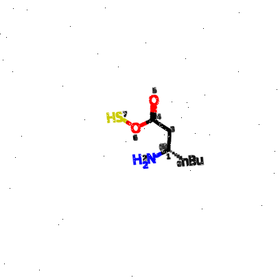 CCCC[C@H](N)CC(=O)OS